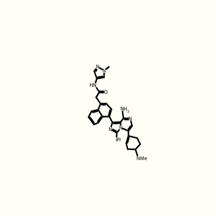 CNC1CC=C(c2cnc(N)c3c(-c4ccc(CC(=O)Nc5cnn(C)c5)c5ccccc45)nc(C(C)C)n23)CC1